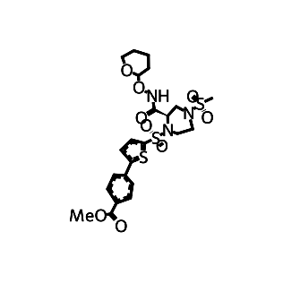 COC(=O)c1ccc(-c2ccc(S(=O)(=O)N3CCN(S(C)(=O)=O)C[C@@H]3C(=O)NOC3CCCCO3)s2)cc1